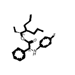 CCCC(CCC)[C@H](CC)OC(=O)[C@H](Nc1ccc(F)cc1)c1ccccc1